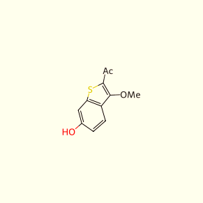 COc1c(C(C)=O)sc2cc(O)ccc12